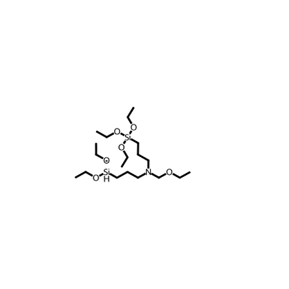 CCOCN(CCC[SiH](OCC)OCC)CCC[Si](OCC)(OCC)OCC